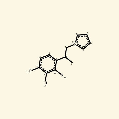 CC(Cn1cccc1)c1ccc(F)[c]([Ti])c1F